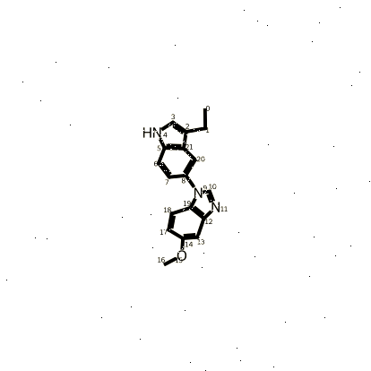 CCc1c[nH]c2ccc(-n3cnc4cc(OC)ccc43)cc12